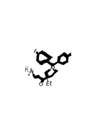 CC[C@@]1(C(=O)CCN)CCN(C(c2ccc(C)cc2)c2ccc(F)cc2)C1